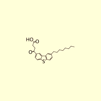 CCCCCCCCc1ccc2sc3ccc(C(=O)CCC(=O)O)cc3c2c1